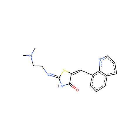 CN(C)CCN=C1NC(=O)C(=Cc2cccc3cccnc23)S1